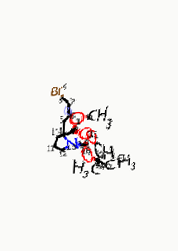 COC(=O)C1(C/C=C\CBr)CCCN1C(=O)OC(C)(C)C